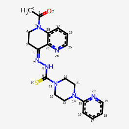 CC(=O)N1CC/C(=N/NC(=S)N2CCN(c3ccccn3)CC2)c2ncccc21